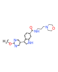 COc1ncc(-c2c[nH]c3cc(C(=O)NCCCN4CCOCC4)ccc23)cn1